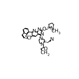 C=CC(=O)N1CCN(c2nc(OC[C@@H]3CCCN3C)nc3nc(-c4cccc5ccsc45)c(Cl)cc23)C[C@@H]1CC#N